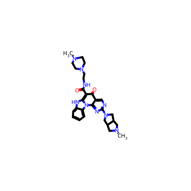 CN1CCN(CCNC(=O)c2c(=O)c3cnc(N4CC5CN(C)CC5C4)nc3n3c2[nH]c2ccccc23)CC1